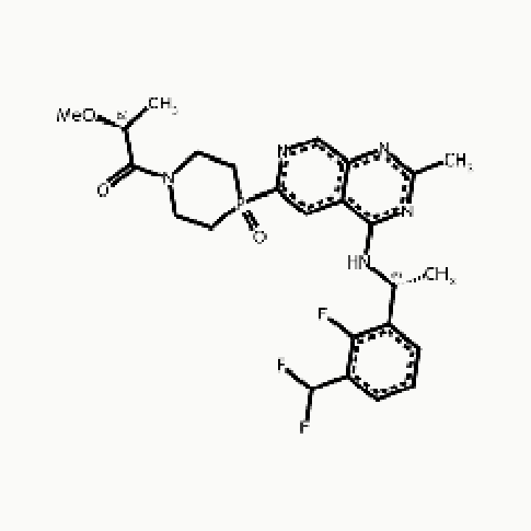 CO[C@@H](C)C(=O)N1CCP(=O)(c2cc3c(N[C@H](C)c4cccc(C(F)F)c4F)nc(C)nc3cn2)CC1